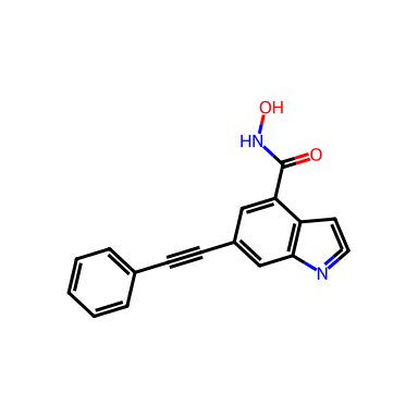 O=C(NO)c1cc(C#Cc2ccccc2)cc2c1C=C=N2